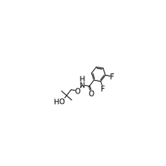 CC(C)(O)CONC(=O)c1cccc(F)c1F